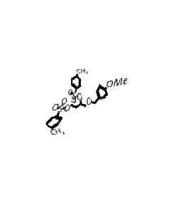 COc1ccc(COCC(CCOS(=O)(=O)c2ccc(C)cc2)OS(=O)(=O)c2ccc(C)cc2)cc1